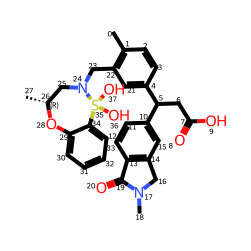 Cc1ccc(C(CC(=O)O)c2ccc3c(c2)CN(C)C3=O)cc1CN1C[C@@H](C)Oc2ccccc2S1(O)O